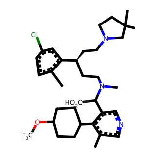 Cc1ccc(Cl)cc1[C@@H](CCN1CCC(C)(C)C1)CCN(C)C(C(=O)O)c1cncc(C)c1C1CCC(OC(F)(F)F)CC1